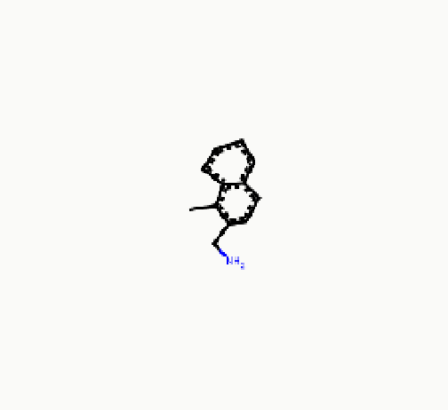 Cc1c(CN)ccc2ccccc12